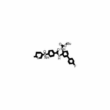 Cc1ccc(S(=N)(=O)c2ccc(C(=O)Nc3cc(-c4ccc(F)cc4)ccc3NC(=O)OC(C)(C)C)cc2)cn1